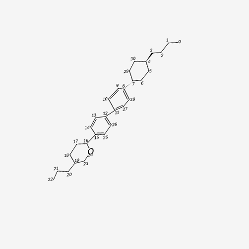 CCCC[C@H]1CC[C@H](c2ccc(-c3ccc(C4CCC(CCC)CO4)cc3)cc2)CC1